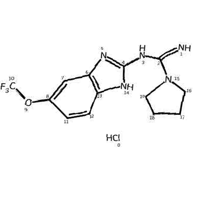 Cl.N=C(Nc1nc2cc(OC(F)(F)F)ccc2[nH]1)N1CCCC1